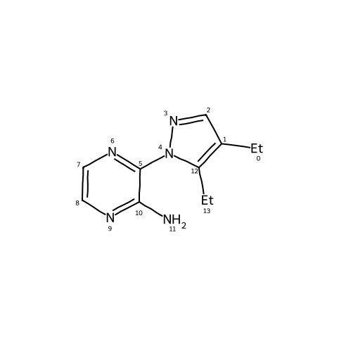 CCc1cnn(-c2nccnc2N)c1CC